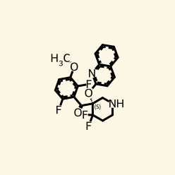 COc1ccc(F)c(C(=O)[C@@]2(Oc3ccc4ccccc4n3)CNCCC2(F)F)c1F